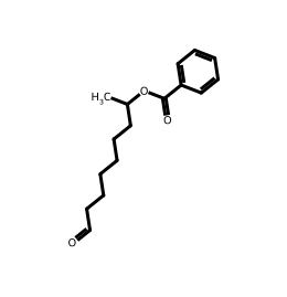 CC(CCCCCCC=O)OC(=O)c1ccccc1